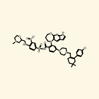 CN1CCOC(CNc2ccc(S(=O)(=O)NC(=O)c3ccc(N4CCN(CC5=C(c6ccc(Cl)cc6)CC(C)(C)CC5)CC4)cc3N3CCCOc4nc5[nH]ccc5cc43)cc2[N+](=O)[O-])C1